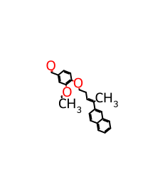 CCOc1cc(C=O)ccc1OCCC=C(C)c1ccc2ccccc2c1